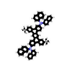 C[Si](C)(C)c1ccc2c3cc(N(c4ccc5ccccc5c4)c4cccc5ccccc45)ccc3c3cc4c5cc([Si](C)(C)C)ccc5c5cc(N(c6ccc7ccccc7c6)c6cccc7ccccc67)ccc5c4cc3c2c1